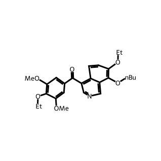 CCCCOc1c(OCC)ccc2c(C(=O)c3cc(OC)c(OCC)c(OC)c3)cncc12